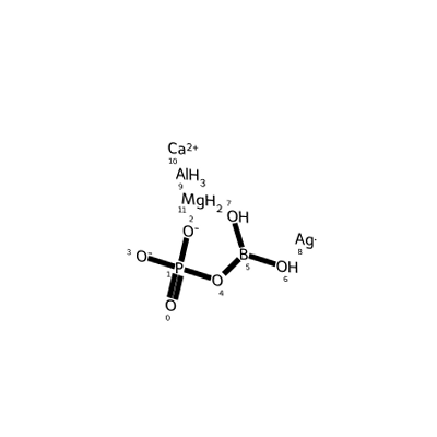 O=P([O-])([O-])OB(O)O.[Ag].[AlH3].[Ca+2].[MgH2]